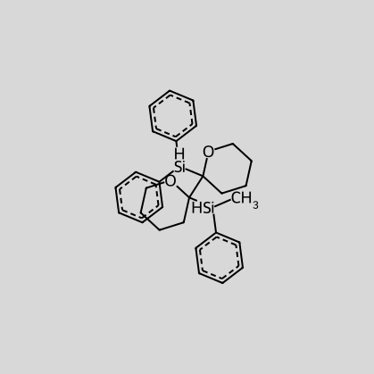 C[SiH](c1ccccc1)C1(C2([SiH](c3ccccc3)c3ccccc3)CCCCO2)CCCCO1